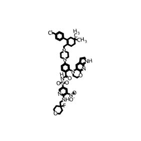 CC1(C)CCC(CN2CCN(c3ccc(C(=O)NS(=O)(=O)c4cnc(NCC5(F)CCOCC5)c([N+](=O)[O-])c4)c(N4CCOc5nc6[nH]ccc6cc54)c3)CC2)=C(c2ccc(Cl)cc2)C1